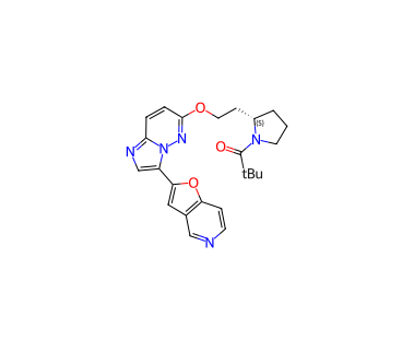 CC(C)(C)C(=O)N1CCC[C@H]1CCOc1ccc2ncc(-c3cc4cnccc4o3)n2n1